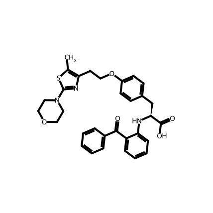 Cc1sc(N2CCOCC2)nc1CCOc1ccc(C[C@H](Nc2ccccc2C(=O)c2ccccc2)C(=O)O)cc1